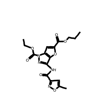 CCCOC(=O)c1cc2c(o1)c(NC(=O)c1cc(C)on1)nn2C(=O)OCC